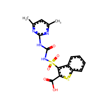 Cc1cc(C)nc(NC(=O)NS(=O)(=O)c2c(C(=O)O)sc3ccccc23)n1